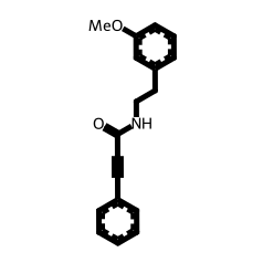 COc1cccc(CCNC(=O)C#Cc2ccccc2)c1